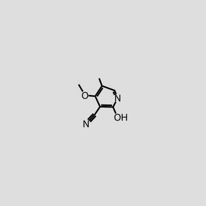 COc1c(C)cnc(O)c1C#N